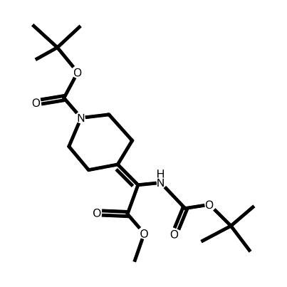 COC(=O)C(NC(=O)OC(C)(C)C)=C1CCN(C(=O)OC(C)(C)C)CC1